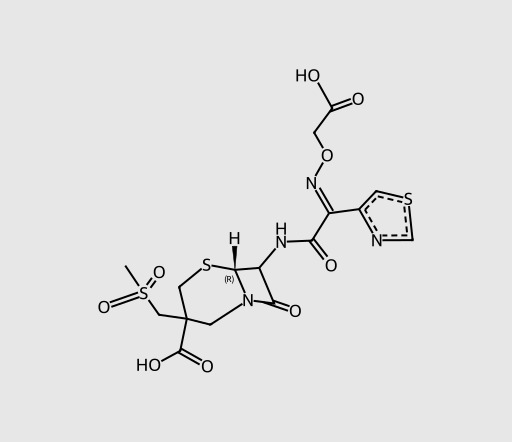 CS(=O)(=O)CC1(C(=O)O)CS[C@@H]2C(NC(=O)C(=NOCC(=O)O)c3cscn3)C(=O)N2C1